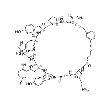 C[C@@]12CCCN1C(=O)[C@H](Cc1ccc(O)cc1)NC(=O)[C@H](Cc1c[nH]cn1)NC(=O)[C@H](CC(=O)O)NC(=O)[C@H](Cc1c[nH]c3ccc(F)cc13)NC(=O)[C@H](Cc1ccc(O)cc1)NC(=O)CNC(=O)[C@H](CCCCN)NC(=O)CCSCc1cccc(c1)CSC[C@@H](C(N)=O)NC2=O